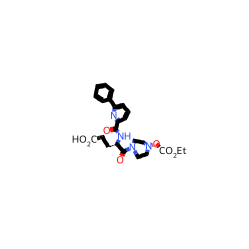 CCOC(=O)ON1CCN(C(=O)[C@H](CCC(=O)O)NC(=O)c2cccc(-c3ccccc3)n2)CC1